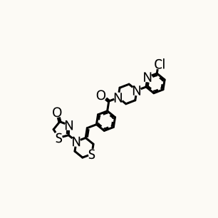 O=C1CSC(N2CCSCC2=Cc2cccc(C(=O)N3CCN(c4cccc(Cl)n4)CC3)c2)=N1